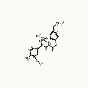 C[C@H](Cc1ccc(CC(=O)O)cc1)NC[C@H](O[Si](C)(C)C(C)(C)C)c1ccc(O)c(CO)c1